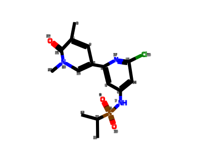 Cc1cc(-c2cc(NS(=O)(=O)C(C)C)cc(Cl)n2)cn(C)c1=O